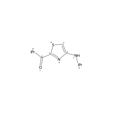 CC(C)Nc1csc(C(=O)C(C)C)n1